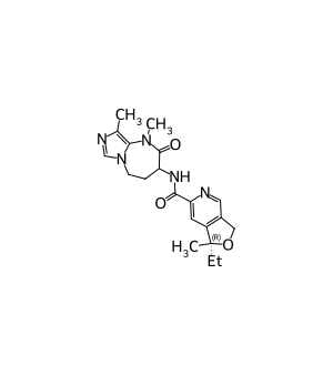 CC[C@@]1(C)OCc2cnc(C(=O)NC3CCn4cnc(C)c4N(C)C3=O)cc21